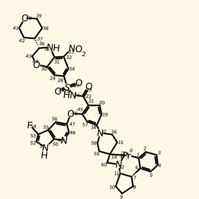 CC(C)c1ccccc1[C@H]1CCC[C@H]1N1CC2(CCN(c3ccc(C(=O)NS(=O)(=O)c4cc5c(c([N+](=O)[O-])c4)N[C@@H](C4CCOCC4)CO5)c(Oc4cnc5[nH]cc(F)c5c4)c3)CC2)C1